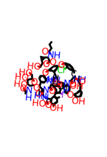 CCCC(=O)NC1C2C=C2C(CO)O[C@H]1Oc1c2cc3cc1Oc1ccc4cc1N(C(=O)[C@@H]3NC(=O)[C@H]1NC(=O)[C@@H](Cc3ccc(c(Cl)c3)O2)NC(=O)Cc2ccc(O)c(c2)Oc2cc(O)cc1c2)[C@H]1C(=O)N[C@H](C(=O)N[C@H](C(=O)O)c2cc(O)cc(C)c2-c2cc1ccc2I)[C@@H]4O[C@@H]1OC(CO)[C@@H](O)C(O)C1NC(C)=O